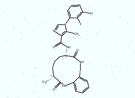 Cc1c(C(=O)N[C@H]2CCC[C@@H](C)C(=O)Nc3ccccc3CNC2=O)ncn1-c1cccc(Cl)c1F